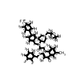 [2H]c1c([2H])c(F)c(F)c(CSc2c([2H])c(=O)c3c([2H])c(C)c([2H])c([2H])c3n2CC(=O)N(Cc2c([2H])c([2H])c(-c3c([2H])c([2H])c(C(F)(F)F)c([2H])c3[2H])c([2H])c2[2H])C2CCN(CC([2H])([2H])OC([2H])([2H])[2H])CC2)c1[2H]